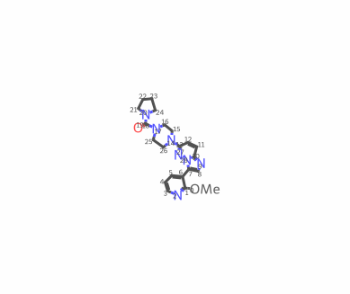 COc1ncccc1-c1cnc2ccc(N3CCN(C(=O)N4CCCC4)CC3)nn12